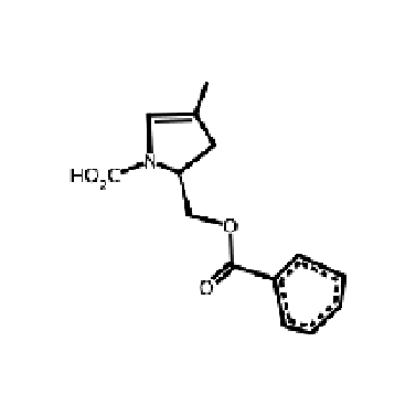 CC1=CN(C(=O)O)[C@H](COC(=O)c2ccccc2)C1